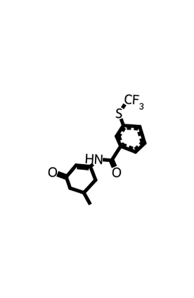 CC1CC(=O)C=C(NC(=O)c2cccc(SC(F)(F)F)c2)C1